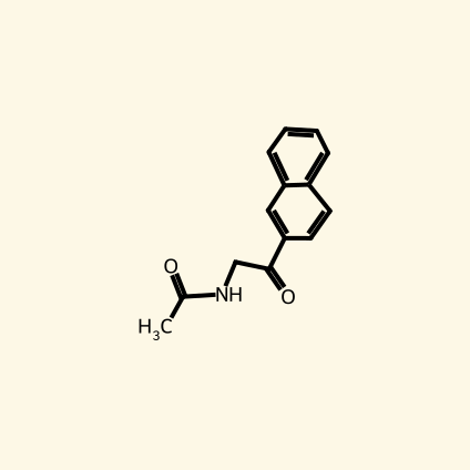 CC(=O)NCC(=O)c1ccc2ccccc2c1